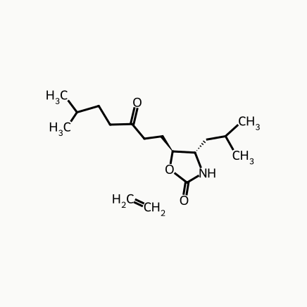 C=C.CC(C)CCC(=O)CC[C@@H]1OC(=O)N[C@H]1CC(C)C